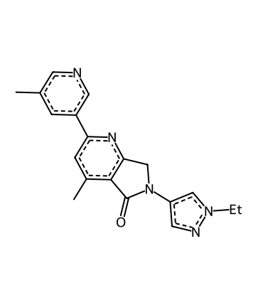 CCn1cc(N2Cc3nc(-c4cncc(C)c4)cc(C)c3C2=O)cn1